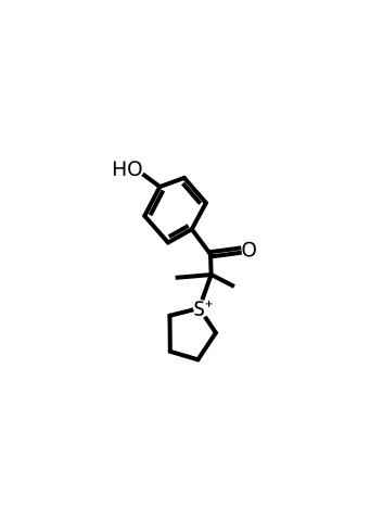 CC(C)(C(=O)c1ccc(O)cc1)[S+]1CCCC1